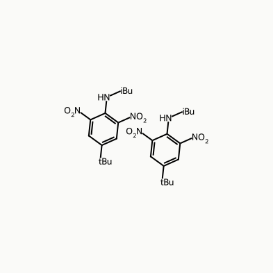 CCC(C)Nc1c([N+](=O)[O-])cc(C(C)(C)C)cc1[N+](=O)[O-].CCC(C)Nc1c([N+](=O)[O-])cc(C(C)(C)C)cc1[N+](=O)[O-]